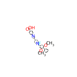 CCOC1=CC(F)(CN2CCC(C3CN(c4ccc(C(=O)O)cc4)C3)CC2)CC(OCC)=C1c1ccccc1